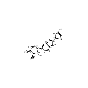 CCC[C@H]1C(=O)NN=C(c2ccc3nc(-c4cc(C)cs4)oc3c2)[C@@H]1C